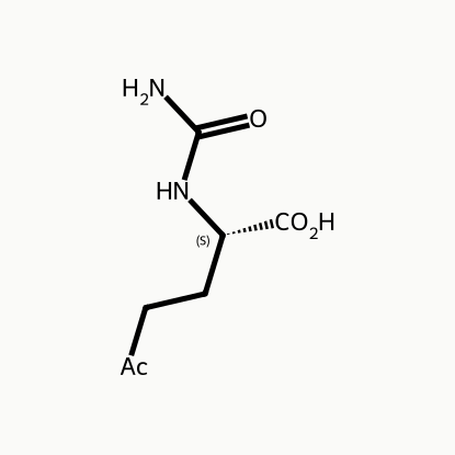 CC(=O)CC[C@H](NC(N)=O)C(=O)O